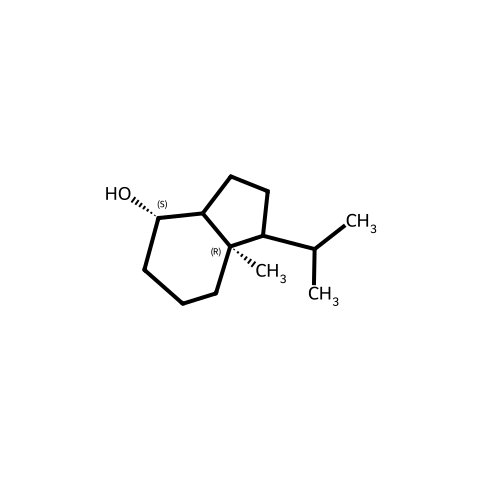 CC(C)C1CCC2[C@@H](O)CCC[C@]12C